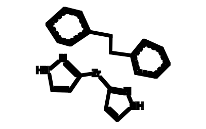 [CH]1=C[C]([Zr][C]2=[Bi][BiH][CH]=C2)=[Bi][BiH]1.c1ccc(CCc2ccccc2)cc1